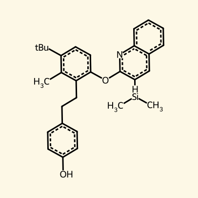 Cc1c(C(C)(C)C)ccc(Oc2nc3ccccc3cc2[SiH](C)C)c1CCc1ccc(O)cc1